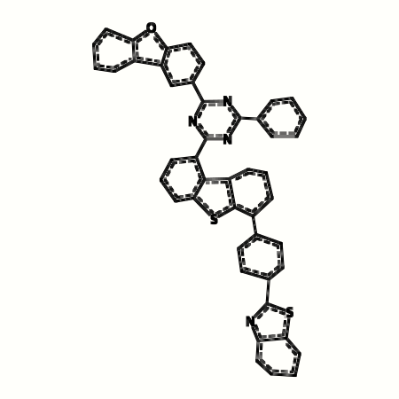 c1ccc(-c2nc(-c3ccc4oc5ccccc5c4c3)nc(-c3cccc4sc5c(-c6ccc(-c7nc8ccccc8s7)cc6)cccc5c34)n2)cc1